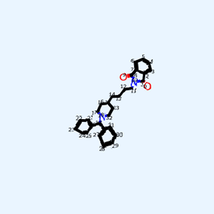 O=C1c2ccccc2C(=O)N1CCCCC1CCN(C(c2ccccc2)c2ccccc2)CC1